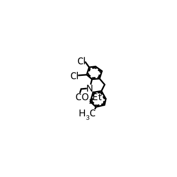 CCOC(=O)CN1c2cc(C)ccc2Cc2ccc(Cl)c(Cl)c21